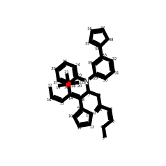 C=C(/C=C\CC)CC(/C(C1=CC=CC1)=C(/C=C\C)C(C)(C)C)N(c1ccccc1)c1cccc(C2=CC=CC2)c1